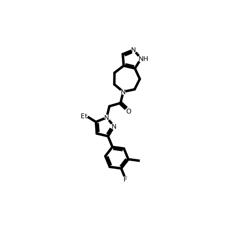 CCc1cc(-c2ccc(F)c(C)c2)nn1CC(=O)N1CCc2cn[nH]c2CC1